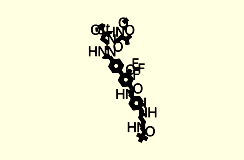 COC(=O)N[C@H](C(=O)N1C[C@@H]([S+](C)[O-])C[C@H]1c1nc(-c2ccc(-c3ccc(C(=O)Nc4ccc(NCCNC(=O)C(C)(C)C)nc4)cc3OC(F)(F)F)cc2)c[nH]1)C(C)C